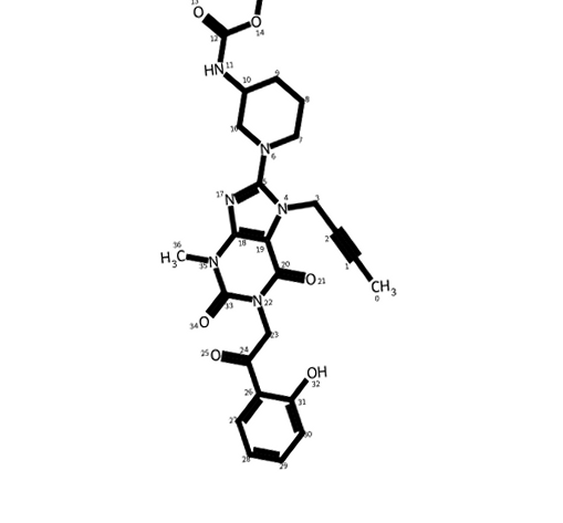 CC#CCn1c(N2CCCC(NC(=O)OC(C)(C)C)C2)nc2c1c(=O)n(CC(=O)c1ccccc1O)c(=O)n2C